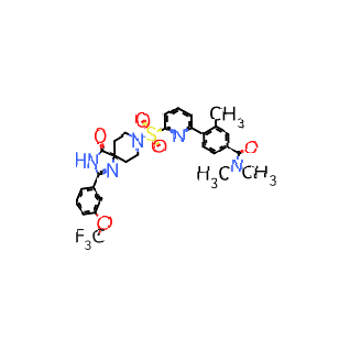 Cc1cc(C(=O)N(C)C)ccc1-c1cccc(S(=O)(=O)N2CCC3(CC2)N=C(c2cccc(OC(F)(F)F)c2)NC3=O)n1